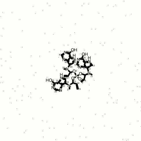 C=CC(OP(=O)(OC(C=C)N(C)c1c[nH]c2c(O)ncnc12)OC(C=C)N(C)c1c[nH]c2c(O)ncnc12)N(C)c1c[nH]c2c(O)ncnc12